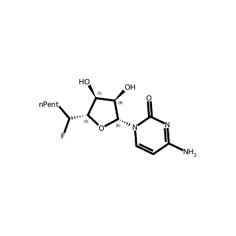 CCCCCC(F)[C@H]1O[C@@H](n2ccc(N)nc2=O)[C@H](O)[C@@H]1O